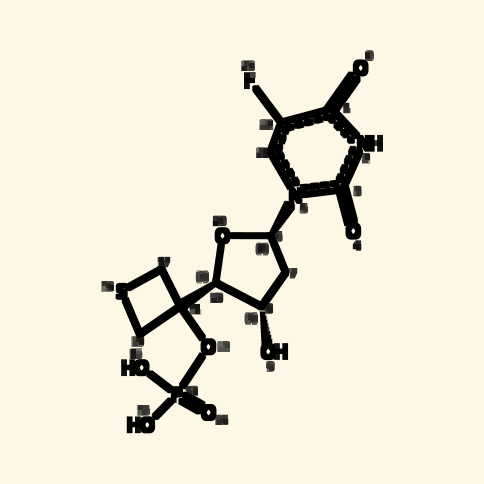 O=c1[nH]c(=O)n([C@H]2C[C@H](O)[C@@H](C3(OP(=O)(O)O)CSC3)O2)cc1F